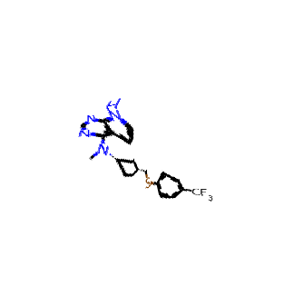 CN(c1ncnc2[nH]ccc12)[C@H]1C[C@@H](CSc2ccc(C(F)(F)F)cc2)C1